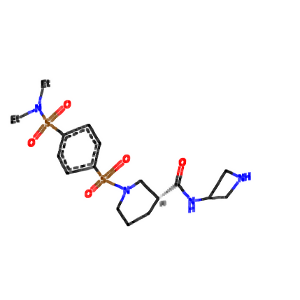 CCN(CC)S(=O)(=O)c1ccc(S(=O)(=O)N2CCC[C@@H](C(=O)NC3CNC3)C2)cc1